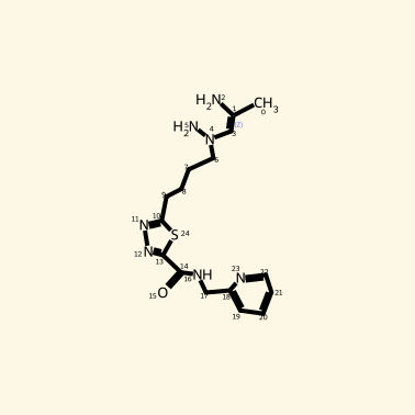 C/C(N)=C/N(N)CCCCc1nnc(C(=O)NCc2ccccn2)s1